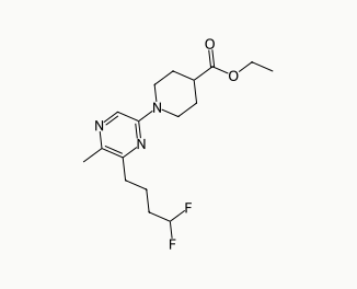 CCOC(=O)C1CCN(c2cnc(C)c(CCCC(F)F)n2)CC1